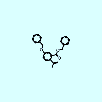 C=C(C)c1ccc(OCc2ccccc2)cc1C(=O)OCc1ccccc1